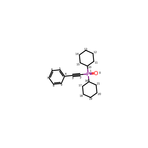 O=P(C#Cc1ccccc1)(C1CCCCC1)C1CCCCC1